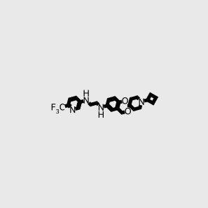 FC(F)(F)c1ccc(NCCNc2ccc3c(c2)COC2(CCN(C4CCC4)CC2)O3)cn1